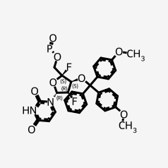 COc1ccc(C(O[C@H]2[C@@H](F)[C@H](n3ccc(=O)[nH]c3=O)O[C@]2(F)COP=O)(c2ccccc2)c2ccc(OC)cc2)cc1